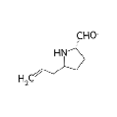 C=CCC1CC[C@@H]([C]=O)N1